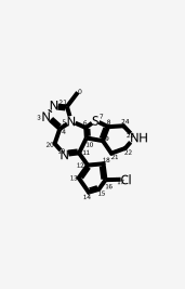 Cc1nnc2n1-c1sc3c(c1C(c1cccc(Cl)c1)=NC2)CCNC3